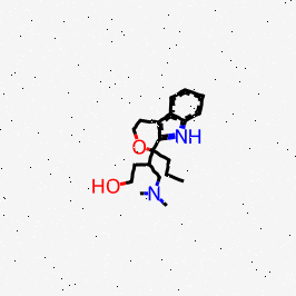 CCCC1(C(CCO)CN(C)C)OCCc2c1[nH]c1ccccc21